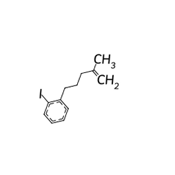 C=C(C)CCCc1ccccc1I